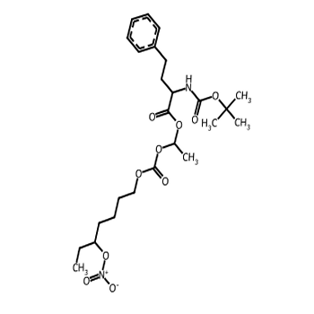 CCC(CCCCOC(=O)OC(C)OC(=O)C(CCc1ccccc1)NC(=O)OC(C)(C)C)O[N+](=O)[O-]